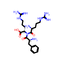 N=C(N)NCCC[C@H](N)C(=O)N(C(=O)[C@@H](N)Cc1ccccc1)[C@@H](CCCNC(=N)N)C(=O)O